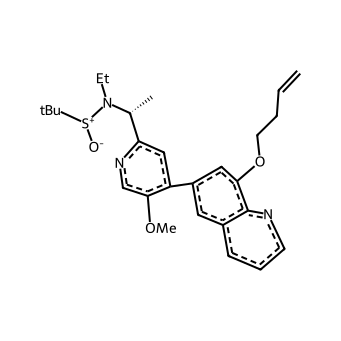 C=CCCOc1cc(-c2cc([C@@H](C)N(CC)[S+]([O-])C(C)(C)C)ncc2OC)cc2cccnc12